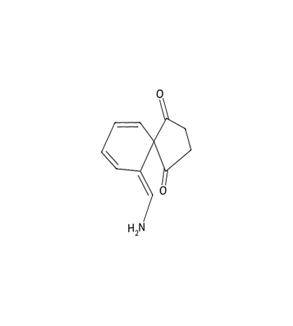 N/C=C1\C=CC=CC12C(=O)CCC2=O